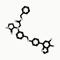 O=C(CN(c1cccc(COc2ccc(-c3cc(F)c(F)c4ccoc34)cc2)c1)C1CCNC1=O)OCc1ccccc1